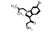 CC(C)Cn1cc(C(=O)CN)c2ccc(Br)cc21